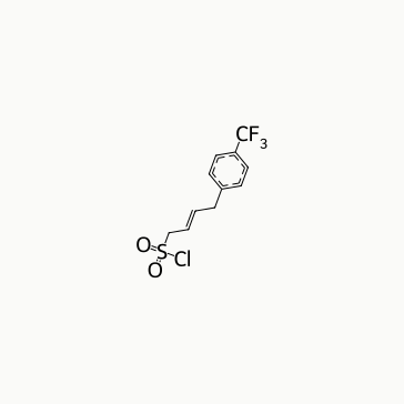 O=S(=O)(Cl)CC=CCc1ccc(C(F)(F)F)cc1